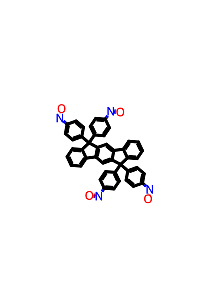 O=Nc1ccc(C2(c3ccc(N=O)cc3)c3ccccc3-c3cc4c(cc32)-c2ccccc2C4(c2ccc(N=O)cc2)c2ccc(N=O)cc2)cc1